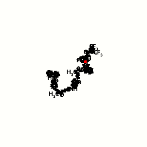 CN(CCN1CCC(OC(=O)Nc2ccccc2-c2ccccc2)CC1)C(=O)CCCCCNc1ccc2c(c1)CCN(CCCN(C)C(=O)CO[C@H]1Cc3ccccc3C13CCN(CC[C@@]1(c4ccc(F)cc4)CN(C(=O)c4cc(C(F)(F)F)cc(C(F)(F)F)c4)CO1)CC3)C2=O